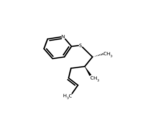 C/C=C/C[C@H](C)[C@@H](C)Sc1ccccn1